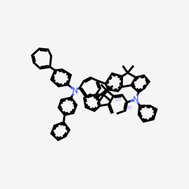 C=C1/C(=C\C(=C/C)N(c2ccccc2)c2cccc3c2-c2cc4c(cc2C3(C)C)C2=CC(C=C(N(c3ccc(C5=CC=CC=CC5)cc3)c3ccc(-c5ccccc5)cc3)C=C2)C4(C)C)C(C)(C)c2ccccc21